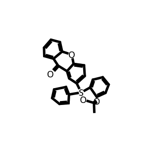 CC(=O)OS(c1ccccc1)(c1ccccc1)c1ccc2oc3ccccc3c(=O)c2c1